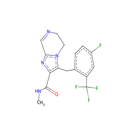 CNC(=O)c1nc2n(c1Cc1ccc(F)cc1C(F)(F)F)CCN=C2